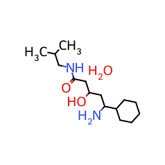 CC(C)CNC(=O)CC(O)CC(N)C1CCCCC1.O